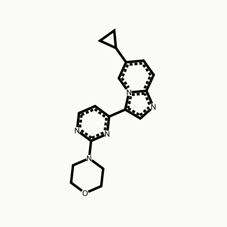 c1cc(-c2cnc3ccc(C4CC4)cn23)nc(N2CCOCC2)n1